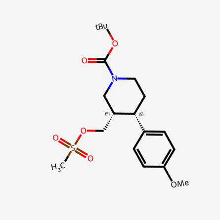 COc1ccc([C@H]2CCN(C(=O)OC(C)(C)C)C[C@H]2COS(C)(=O)=O)cc1